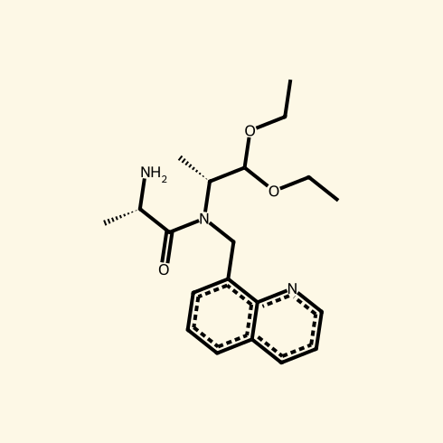 CCOC(OCC)[C@@H](C)N(Cc1cccc2cccnc12)C(=O)[C@H](C)N